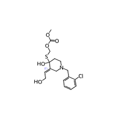 COC(=O)OCSC1(O)CCN(Cc2ccccc2Cl)C/C1=C\CO